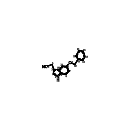 N#CCc1c[nH]c2ccc(OCc3ccccc3)cc12